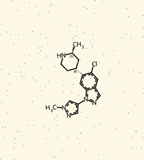 C[C@H]1C[C@H](c2cc3c(cnn3-c3cnn(C)c3)cc2Cl)CCN1